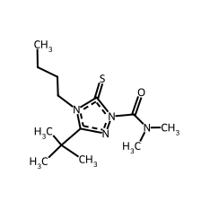 CCCCn1c(C(C)(C)C)nn(C(=O)N(C)C)c1=S